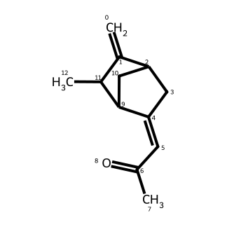 C=C1C2C/C(=C/C(C)=O)C(C2)C1C